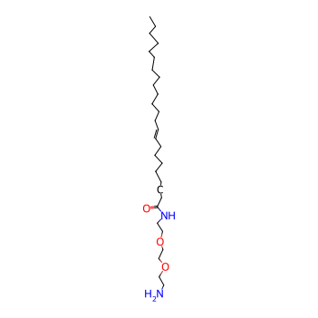 CCCCCCCCCCCCCC=CCCCCCCCC(=O)NCCOCCOCCN